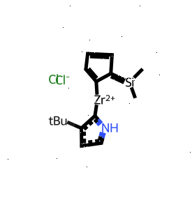 C[Si](C)=C1C=CC=[C]1[Zr+2][c]1[nH]ccc1C(C)(C)C.[Cl-].[Cl-]